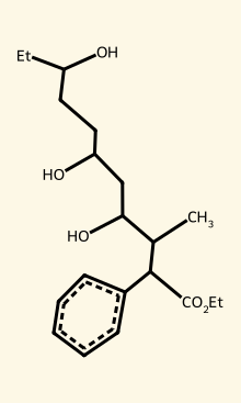 CCOC(=O)C(c1ccccc1)C(C)C(O)CC(O)CCC(O)CC